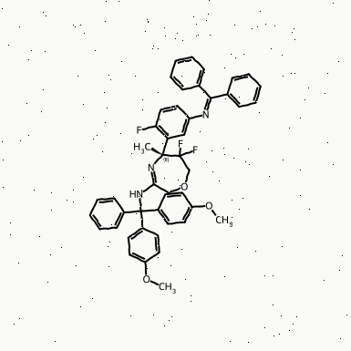 COc1ccc(C(NC2=N[C@](C)(c3cc(N=C(c4ccccc4)c4ccccc4)ccc3F)C(F)(F)COC2)(c2ccccc2)c2ccc(OC)cc2)cc1